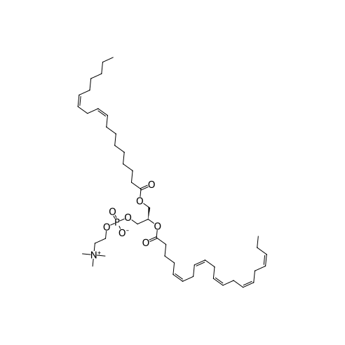 CC/C=C\C/C=C\C/C=C\C/C=C\C/C=C\CCCC(=O)O[C@H](COC(=O)CCCCCCC/C=C\C/C=C\CCCCC)COP(=O)([O-])OCC[N+](C)(C)C